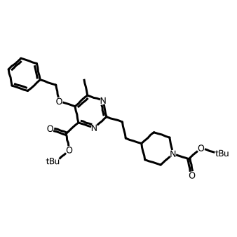 Cc1nc(CCC2CCN(C(=O)OC(C)(C)C)CC2)nc(C(=O)OC(C)(C)C)c1OCc1ccccc1